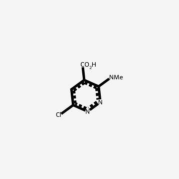 CNc1nnc(Cl)cc1C(=O)O